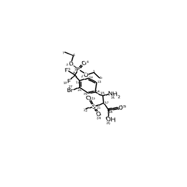 CCOP(=O)(OCC)C(F)(F)c1ccc(C(N)C(C(=O)O)S(C)(=O)=O)cc1Br